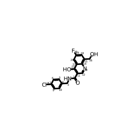 O=C(NCc1ccc(Cl)cc1)c1cnc2c(CO)cc(F)cc2c1O